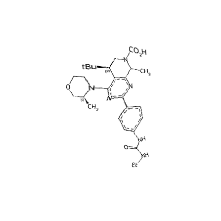 CCNC(=O)Nc1ccc(-c2nc3c(c(N4CCOC[C@@H]4C)n2)[C@@H](C(C)(C)C)CN(C(=O)O)C3C)cc1